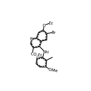 CCOC(=O)c1cnc2cc(OCC)c(Br)cc2c1Nc1cccc(OC)c1C